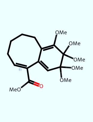 COC(=O)/C1=C/CCCCC2=C(OC)C(OC)(OC)C(OC)(OC)C=C21